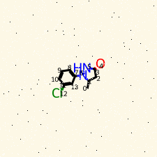 CC1CC(=O)NN1c1cccc(Cl)c1